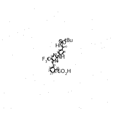 CC(NC(=O)OC(C)(C)C)c1ccc(Nc2ncc(C(F)(F)F)c(CCc3ccccc3CC(=O)O)n2)cc1